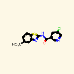 O=C(O)c1ccc2sc(NC(=O)c3cncc(Cl)c3)nc2c1